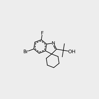 CC(C)(O)C1=Nc2c(F)cc(Br)cc2C12CCCCC2